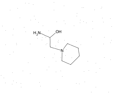 NC(O)CN1CCCCC1